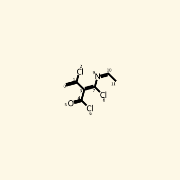 C=C(Cl)/C(C(=O)Cl)=C(Cl)\N=C/C